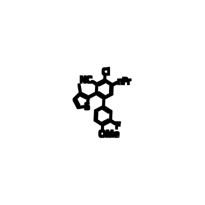 CCCc1cc(-c2ccc(OC)c(F)c2)c(-c2sccc2C)c(C#N)c1Cl